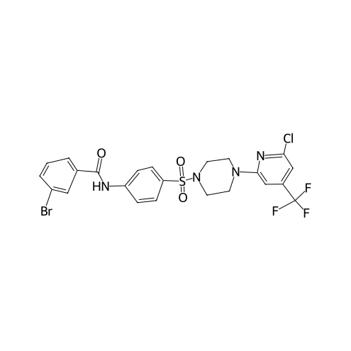 O=C(Nc1ccc(S(=O)(=O)N2CCN(c3cc(C(F)(F)F)cc(Cl)n3)CC2)cc1)c1cccc(Br)c1